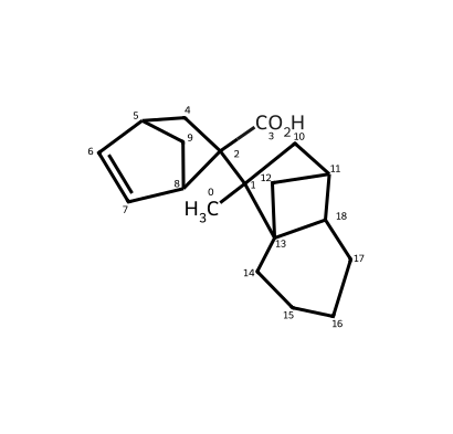 CC1(C2(C(=O)O)CC3C=CC2C3)CC2CC13CCCCC23